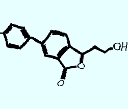 O=C1OC(CCO)c2ccc(-c3ccccc3)cc21